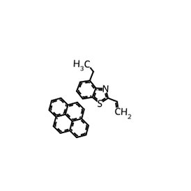 C=Cc1nc2c(CC)cccc2s1.c1cc2ccc3cccc4ccc(c1)c2c34